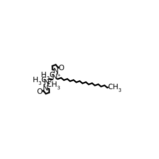 CCCCCCCCCCCCCCCCCC[N+](C)(CC[N+](C)(C)CN1CCCC1=O)CN1CCCC1=O